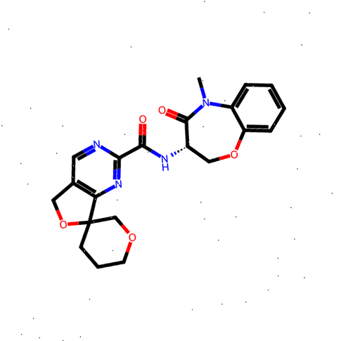 CN1C(=O)[C@@H](NC(=O)c2ncc3c(n2)C2(CCCOC2)OC3)COc2ccccc21